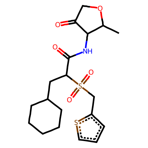 CC1OCC(=O)C1NC(=O)C(CC1CCCCC1)S(=O)(=O)Cc1cccs1